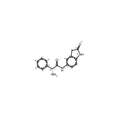 N[C@@H](C(=O)Nc1ccc2c(c1)CC(=O)N2)c1ccccc1